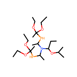 CCOC(C)(OCC)PC(C)N(C(CC)OC(C)C)C(C)PC(C)(OCC)OCC